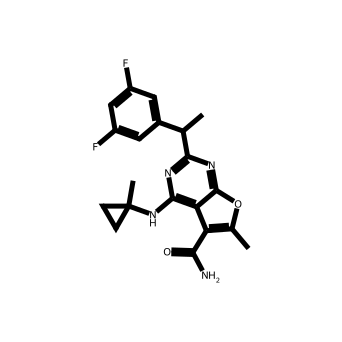 Cc1oc2nc(C(C)c3cc(F)cc(F)c3)nc(NC3(C)CC3)c2c1C(N)=O